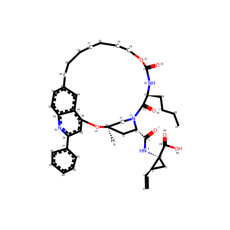 C=C[C@@H]1C[C@]1(NC(=O)[C@@H]1C[C@@H]2CN1C(=O)[C@H](CCCC)NC(=O)OCCCCCCCc1ccc3nc(-c4ccccc4)cc(c3c1)O2)C(=O)O